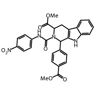 COC(=O)c1ccc(C2c3[nH]c4ccccc4c3CC(C(=O)OC)N2C(=O)Nc2ccc([N+](=O)[O-])cc2)cc1